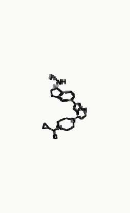 CC(C)N[C@H]1CCc2cc(-c3cc4c(N5CCN(C(=O)C6CC6)CC5)ccnn4c3)ccc21